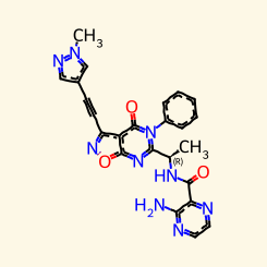 C[C@@H](NC(=O)c1nccnc1N)c1nc2onc(C#Cc3cnn(C)c3)c2c(=O)n1-c1ccccc1